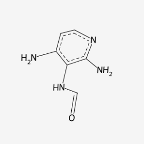 Nc1ccnc(N)c1NC=O